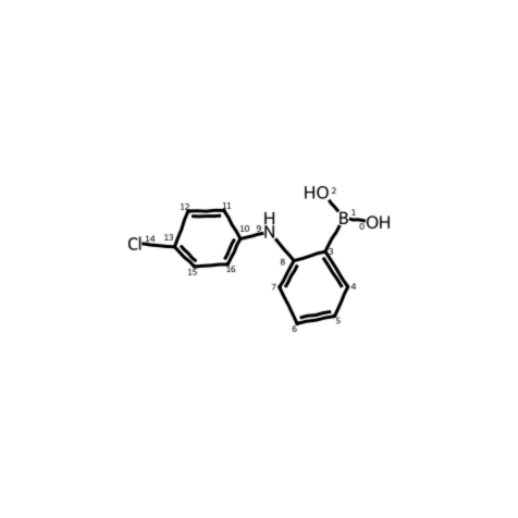 OB(O)c1ccccc1Nc1ccc(Cl)cc1